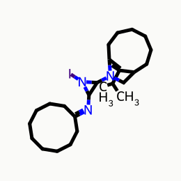 CC(C)C1=C2CCCCCCC1CN2C1C(N=C2CCCCCCCCC2)N1I